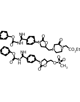 CCOC(=O)CN1CCN(CC2CN(c3ccc(C(=N)NC(=O)Oc4ccccc4)cc3)C(=O)O2)CC1=O.CS(=O)(=O)OCC1CN(c2ccc(C(=N)NC(=O)Oc3ccccc3)cc2)C(=O)O1